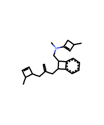 C=C(CC1C=CC1C)CC1c2ccccc2C1CN(C)C1=CC(C)C1